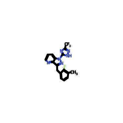 Cc1cccc(Cc2nn(-c3nc(C(F)(F)F)n[nH]3)c3cccnc23)c1F